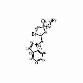 CC(C)OP(=O)(F)CC(Br)Cn1ccc2ccccc21